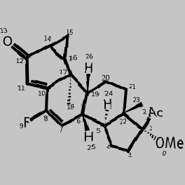 CO[C@]1(C(C)=O)CC[C@H]2[C@@H]3C=C(F)C4=CC(=O)C5CC5[C@@]4(C)[C@@H]3CC[C@@]21C